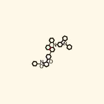 c1ccc(-c2nc3c(ccc4oc5cc(-c6ccc(N(c7ccc8c(c7)c7ccccc7n8-c7ccccc7)c7ccccc7-c7ccccc7)cc6)ccc5c43)o2)cc1